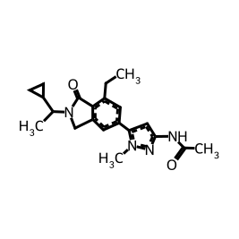 CCc1cc(-c2cc(NC(C)=O)nn2C)cc2c1C(=O)N(C(C)C1CC1)C2